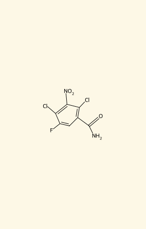 NC(=O)c1cc(F)c(Cl)c([N+](=O)[O-])c1Cl